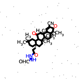 C[C@@H]1C(=O)C(C#N)=C[C@]2(C)C3=CC(=O)C4C5CC(C)(C)CC[C@]5(CCC(=O)NNC=O)CC[C@@]4(C)[C@]3(C)CC[C@@H]12